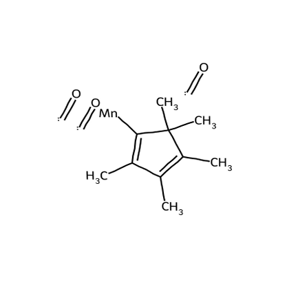 CC1=C(C)C(C)(C)[C]([Mn])=C1C.[C]=O.[C]=O.[C]=O